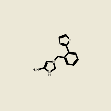 NC1=CN(Cc2ccccc2-c2ncco2)CN1